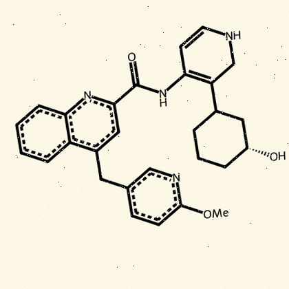 COc1ccc(Cc2cc(C(=O)NC3=C(C4CCC[C@@H](O)C4)CNC=C3)nc3ccccc23)cn1